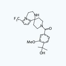 COc1cc(C(=O)N2CCC3(CC2)NCCn2c(C(F)(F)F)ccc23)ccc1C(C)(C)O